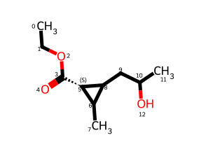 CCOC(=O)[C@H]1C(C)C1CC(C)O